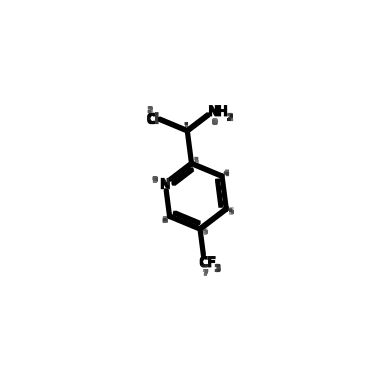 NC(Cl)c1ccc(C(F)(F)F)cn1